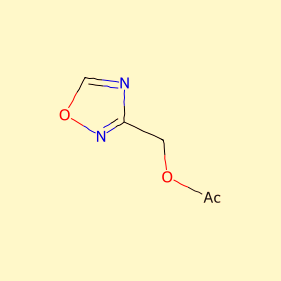 CC(=O)OCc1ncon1